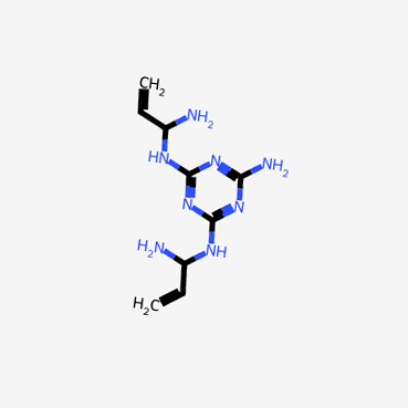 C=CC(N)Nc1nc(N)nc(NC(N)C=C)n1